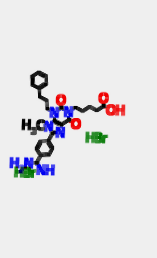 Br.Br.Cn1c(-c2ccc(C(=N)N)cc2)nc2c(=O)n(CCCCC(=O)O)c(=O)n(CCCc3ccccc3)c21